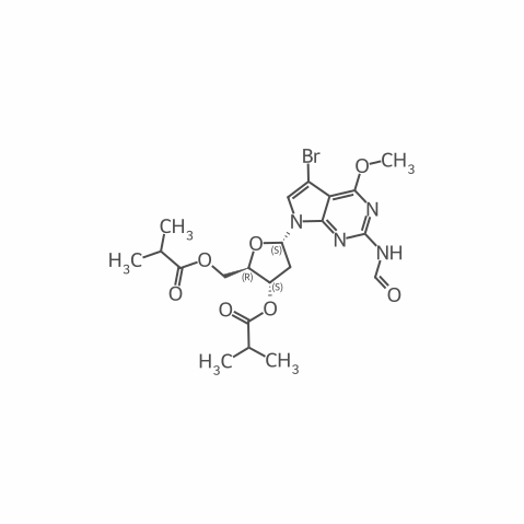 COc1nc(NC=O)nc2c1c(Br)cn2[C@@H]1C[C@H](OC(=O)C(C)C)[C@@H](COC(=O)C(C)C)O1